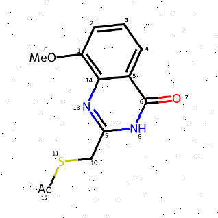 COc1cccc2c(=O)[nH]c(CSC(C)=O)nc12